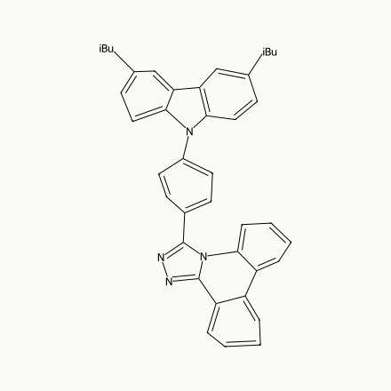 CCC(C)c1ccc2c(c1)c1cc(C(C)CC)ccc1n2-c1ccc(-c2nnc3c4ccccc4c4ccccc4n23)cc1